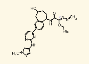 C=N/N=C(\OCC(C)(C)C)C(=O)NC1CCC(O)Cc2cc(-c3ccnc(Nc4cnn(C)c4)n3)ccc21